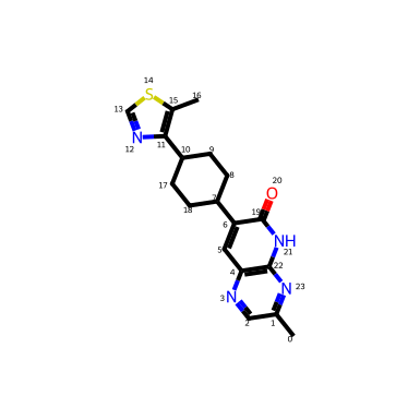 Cc1cnc2cc(C3CCC(c4ncsc4C)CC3)c(=O)[nH]c2n1